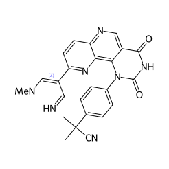 CN/C=C(\C=N)c1ccc2ncc3c(=O)[nH]c(=O)n(-c4ccc(C(C)(C)C#N)cc4)c3c2n1